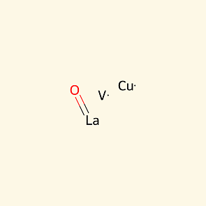 [Cu].[O]=[La].[V]